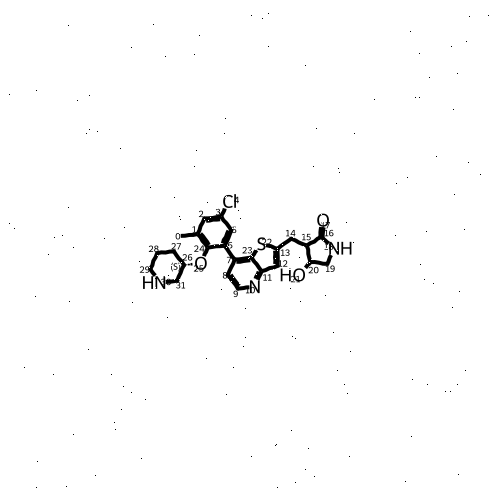 Cc1cc(Cl)cc(-c2ccnc3cc(CC4C(=O)NCC4O)sc23)c1O[C@H]1CCCNC1